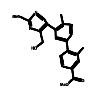 COC(=O)c1ccc(-c2ccc(C)c(-c3cnc(SC)nc3CO)c2)c(C)c1